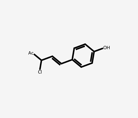 CC(=O)C(Cl)C=Cc1ccc(O)cc1